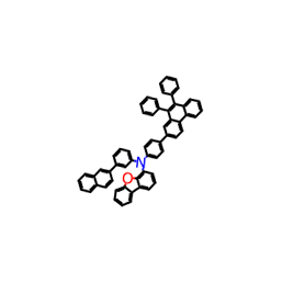 c1ccc(-c2c(-c3ccccc3)c3cc(-c4ccc(N(c5cccc(-c6ccc7ccccc7c6)c5)c5cccc6c5oc5ccccc56)cc4)ccc3c3ccccc23)cc1